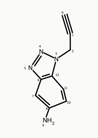 C#CCn1nnc2cc(N)ccc21